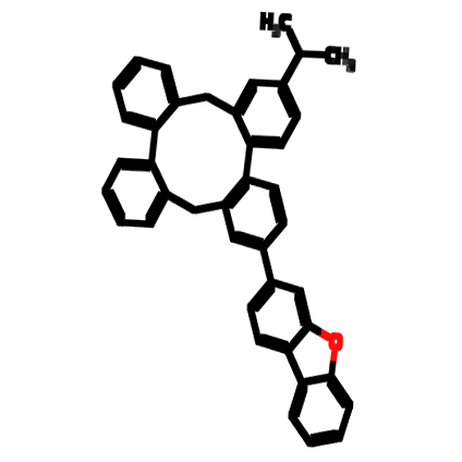 CC(C)c1ccc2c(c1)Cc1ccccc1-c1ccccc1Cc1cc(-c3ccc4c(c3)oc3ccccc34)ccc1-2